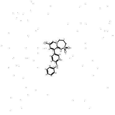 O=S1(=O)CCCN2C=C(Cl)C=C(c3ccc(Oc4ccccc4)nc3)C2=N1